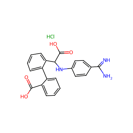 Cl.N=C(N)c1ccc(NC(C(=O)O)c2ccccc2-c2ccccc2C(=O)O)cc1